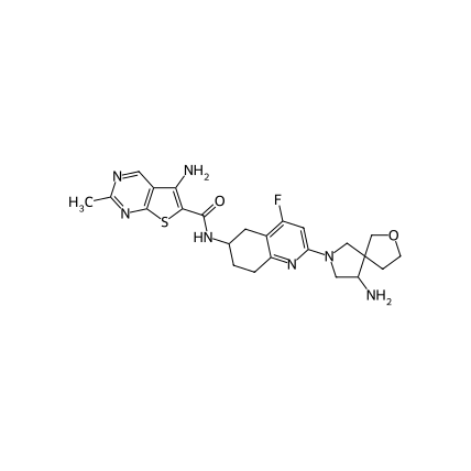 Cc1ncc2c(N)c(C(=O)NC3CCc4nc(N5CC(N)C6(CCOC6)C5)cc(F)c4C3)sc2n1